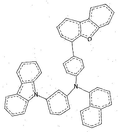 c1cc(N(c2ccc(-c3cccc4c3oc3ccccc34)cc2)c2cccc3ccccc23)cc(-n2c3ccccc3c3ccccc32)c1